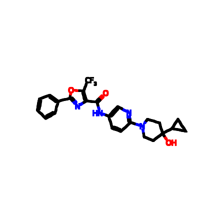 O=C(Nc1ccc(N2CCC(O)(C3CC3)CC2)nc1)c1nc(-c2ccccc2)oc1C(F)(F)F